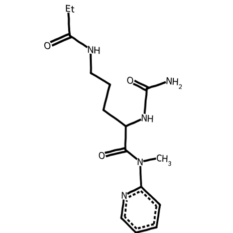 CCC(=O)NCCCC(NC(N)=O)C(=O)N(C)c1ccccn1